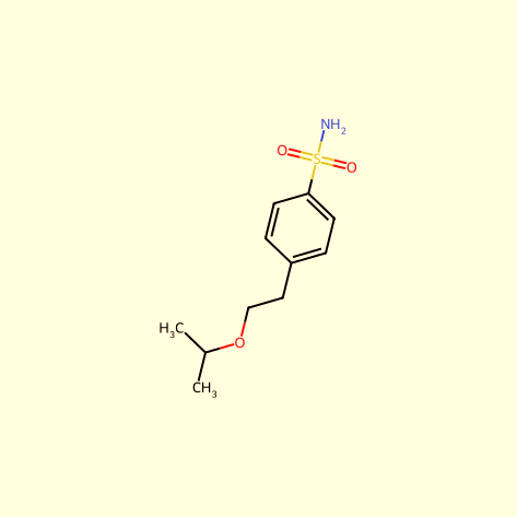 CC(C)OCCc1ccc(S(N)(=O)=O)cc1